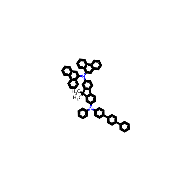 CC1(C)c2cc(N(c3ccccc3)c3ccc(-c4ccc(-c5ccccc5)cc4)cc3)ccc2-c2ccc(N(c3cc4ccccc4c4ccccc34)c3cc4ccccc4c4ccccc34)cc21